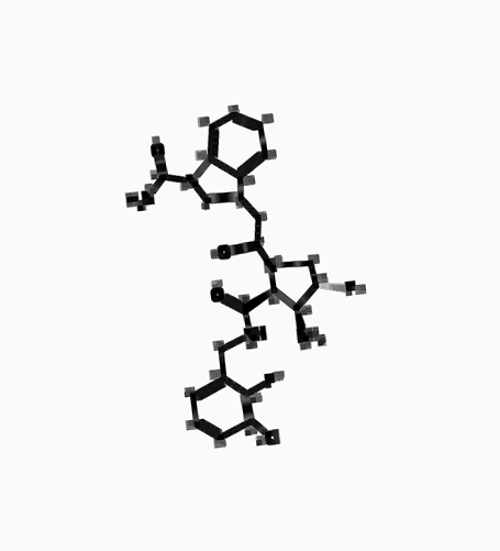 NC(=O)n1cc(CC(=O)N2C[C@H](F)[C@@H](N)[C@H]2C(=O)NCc2cccc(Cl)c2F)c2ccccc21